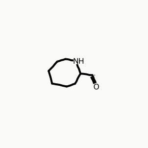 O=[C]C1CCCCCCN1